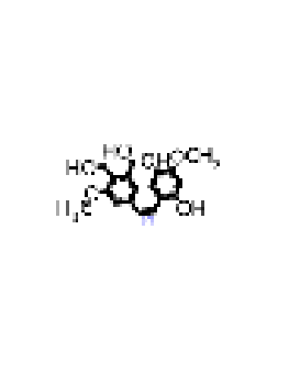 COc1cc(O)c(/C=C\c2cc(CO)c(CO)c(OC)c2)cc1O